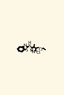 CCOCc1c(Cl)nnc(Nc2nc3ccccc3s2)c1C